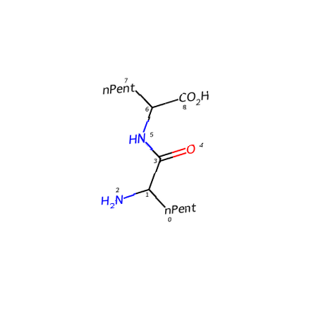 CCCCCC(N)C(=O)NC(CCCCC)C(=O)O